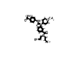 COC(=O)c1ccc(Nc2nc3ccc(C(=O)N(CCC(C)C)CCC(C)C)cc3n2C2CCN(C)CC2)cc1